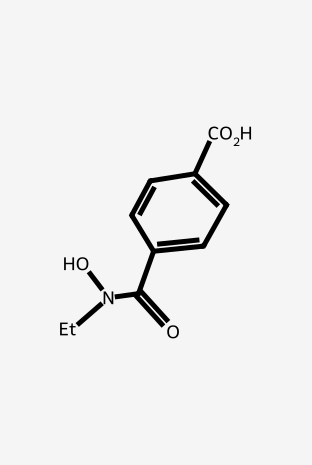 CCN(O)C(=O)c1ccc(C(=O)O)cc1